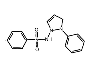 O=S(=O)(NN1C=CCN1c1ccccc1)c1cc[c]cc1